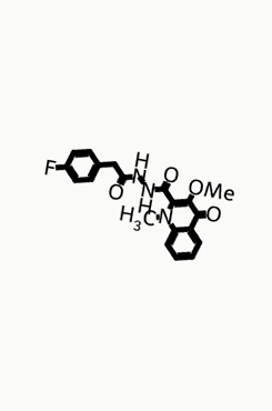 COc1c(C(=O)NNC(=O)Cc2ccc(F)cc2)n(C)c2ccccc2c1=O